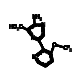 Nc1ncc(-c2ncccc2OC(F)(F)F)nc1C(=O)O